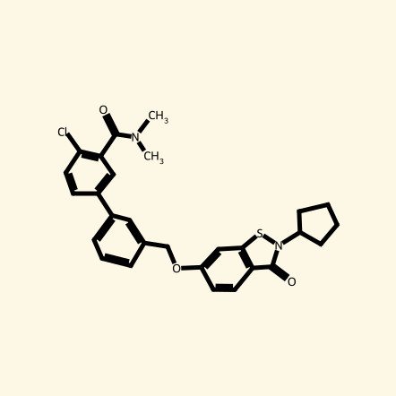 CN(C)C(=O)c1cc(-c2cccc(COc3ccc4c(=O)n(C5CCCC5)sc4c3)c2)ccc1Cl